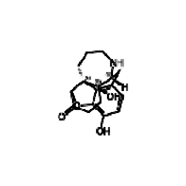 O=C1CC[C@@]2(O)[C@H]3Cc4ccc(O)c5c4[C@@]2(CCCN3)C1O5